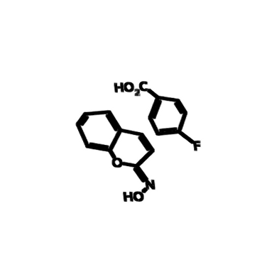 O=C(O)c1ccc(F)cc1.ON=c1ccc2ccccc2o1